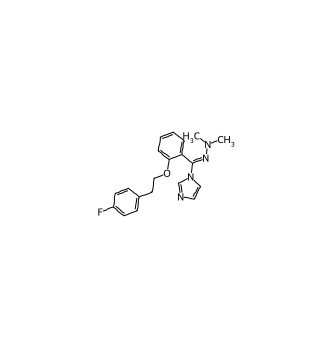 CN(C)/N=C(\c1ccccc1OCCc1ccc(F)cc1)n1ccnc1